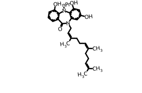 CCCN1c2c(O)cccc2C(=O)N(CC=C(C)CCC=C(C)CCC=C(C)C)c2cc(O)cc(O)c21